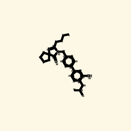 CCCCC1=NC2(CCCC2)C(=O)N1Cc1ccc(-c2ccc(CC(C)C)c(O)c2)cc1